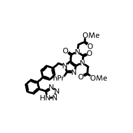 CCCc1nc2c(c(=O)n(CC(=O)OC)c(=O)n2CC(=O)OC)n1Cc1ccc(-c2ccccc2-c2nnn[nH]2)cc1